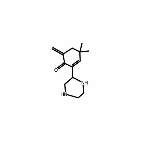 C=C1CC(C)(C)C=C(C2CNCCN2)C1=O